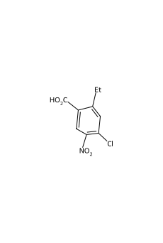 CCc1cc(Cl)c([N+](=O)[O-])cc1C(=O)O